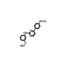 CCCCOc1cccc(Nc2nccc(-c3ccc(NC(C)=O)cc3)n2)c1